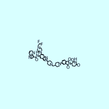 O=C1CCC(N2C(=O)c3ccc(N4CCC(CN5CCC(n6cc7cc(NC(=O)c8cnn9cccnc89)c(N8CCN(CC(F)F)CC8)cc7n6)CC5)CC4)cc3C2=O)C(=O)N1